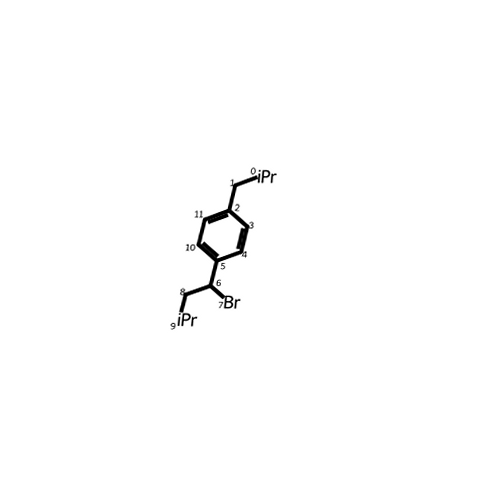 CC(C)Cc1ccc(C(Br)CC(C)C)cc1